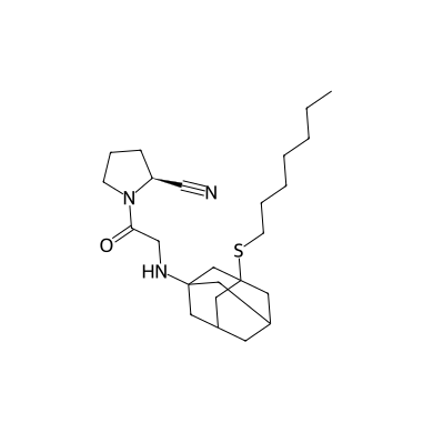 CCCCCCCSC12CC3CC(CC(NCC(=O)N4CCC[C@H]4C#N)(C3)C1)C2